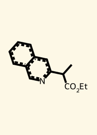 CCOC(=O)C(C)c1cc2ccccc2cn1